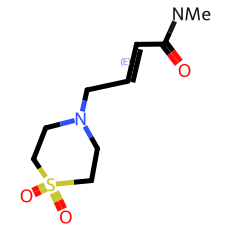 CNC(=O)/C=C/CN1CCS(=O)(=O)CC1